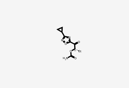 CC[C@H](OC(N)=O)C(=O)c1nc(C2CC2)no1